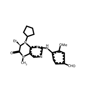 CC[C@@H]1C(=O)N(C)c2cnc(Nc3ccc(C=O)cc3OC)nc2N1C1CCCC1